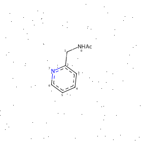 [CH2]C(=O)NCc1ccccn1